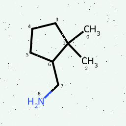 CC1(C)CCCC1CN